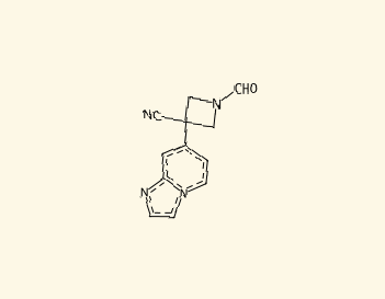 N#CC1(c2ccn3ccnc3c2)CN(C=O)C1